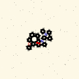 c1ccc(-c2ccccc2N(c2ccc3c(c2)-c2ccccc2-c2ccccc2N3c2ccccc2)c2ccc3c(c2)c2ccccc2c2ccccc2c2ccccc2c2c3ccc3c4ccccc4oc32)cc1